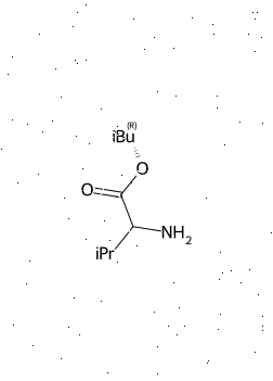 CC[C@@H](C)OC(=O)C(N)C(C)C